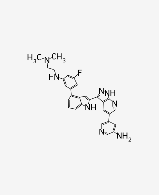 CN(C)CCNc1cc(F)cc(-c2cccc3[nH]c(-c4n[nH]c5ncc(-c6cncc(N)c6)cc45)cc23)c1